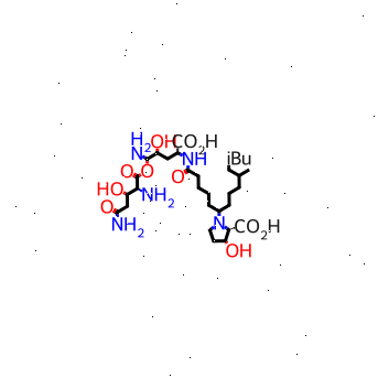 CCC(C)CC(C)CCCC(CCCCC(=O)N[C@@H](CC(O)C(N)OC(=O)[C@@H](N)C(O)CC(N)=O)C(=O)O)N1CCC(O)[C@H]1C(=O)O